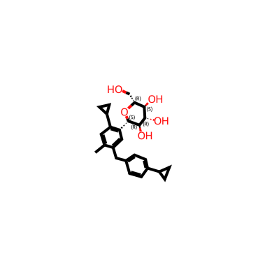 Cc1cc(C2CC2)c([C@@H]2O[C@H](CO)[C@@H](O)[C@H](O)[C@H]2O)cc1Cc1ccc(C2CC2)cc1